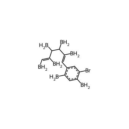 B/C=C(\B)C(B)C(B)/C(B)=C/c1cc(Br)c(B)cc1B